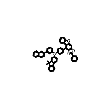 CC1(C)c2ccccc2-c2ccc(N(c3ccc(-c4c5nc(-c6ccccc6)oc5cc5oc6ccccc6c45)cc3)c3cccc(-c4ccc5ccccc5c4)c3)cc21